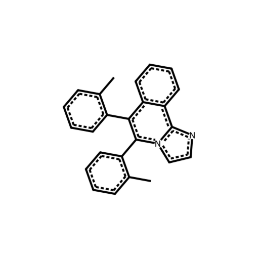 Cc1ccccc1-c1c(-c2ccccc2C)n2ccnc2c2ccccc12